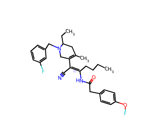 CCCC/C(NC(=O)Cc1ccc(OF)cc1)=C(/C#N)C1=C(C)CC(CC)N(Cc2cccc(F)c2)C1